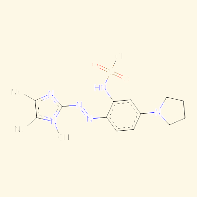 Cn1c(N=Nc2ccc(N3CCCC3)cc2NS(=O)(=O)C(F)(F)F)nc(C#N)c1C#N